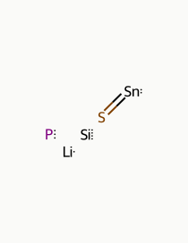 [Li].[P].[S]=[Sn].[Si]